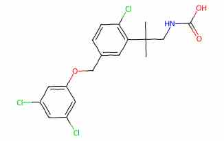 CC(C)(CNC(=O)O)c1cc(COc2cc(Cl)cc(Cl)c2)ccc1Cl